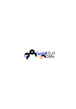 COCC(NC(=O)O)C(=O)Nc1nc(-c2cccc(-c3ccnc(C)c3)c2)cs1